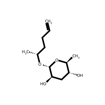 C=CCC[C@@H](C)O[C@@H]1O[C@@H](C)[C@H](O)C[C@H]1O